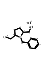 Cl.ClCC1CCC(CCl)N1Cc1ccccc1